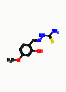 COc1ccc(C=NNC(N)=S)c(O)c1